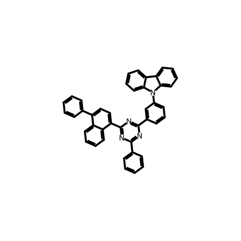 c1ccc(-c2nc(-c3cccc(-n4c5ccccc5c5ccccc54)c3)nc(-c3ccc(-c4ccccc4)c4ccccc34)n2)cc1